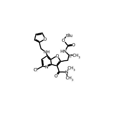 C[C@@H](Cc1oc2c(NCc3ccco3)cc(Cl)nc2c1C(=O)N(C)C)NC(=O)OC(C)(C)C